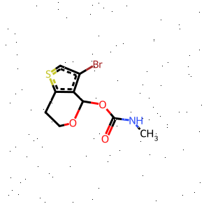 CNC(=O)OC1OCCc2scc(Br)c21